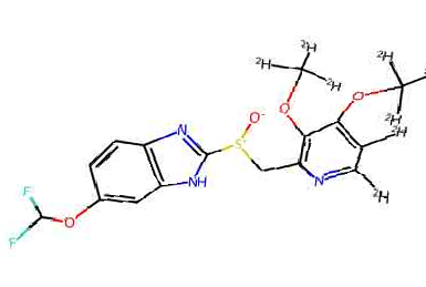 [2H]c1nc(C[S+]([O-])c2nc3ccc(OC(F)F)cc3[nH]2)c(OC([2H])([2H])[2H])c(OC([2H])([2H])[2H])c1[2H]